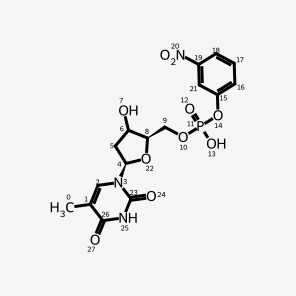 Cc1cn([C@H]2CC(O)[C@@H](COP(=O)(O)Oc3cccc([N+](=O)[O-])c3)O2)c(=O)[nH]c1=O